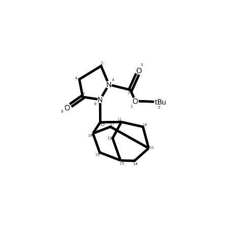 CC(C)(C)OC(=O)N1CCC(=O)N1C1C2CC3CC(C2)CC1C3